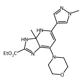 CCOC(=O)C1=NC2=C(N3CCOCC3)C=C(c3cnn(C)c3)NC2(C)N1